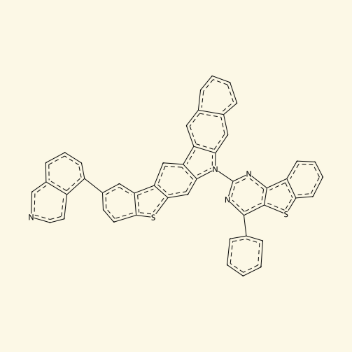 c1ccc(-c2nc(-n3c4cc5ccccc5cc4c4cc5c(cc43)sc3ccc(-c4cccc6cnccc46)cc35)nc3c2sc2ccccc23)cc1